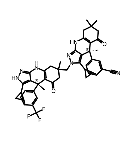 CC1(C)CC(=O)C2=C(C1)Nc1nn(CC3(C)CC(=O)C4=C(C3)Nc3n[nH]c(C5CC5)c3[C@@]4(C)c3cccc(C(F)(F)F)c3)c(C3CC3)c1[C@]2(C)c1cccc(C#N)c1